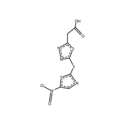 O=C(O)Cc1nnc(Sc2ncc([N+](=O)[O-])s2)s1